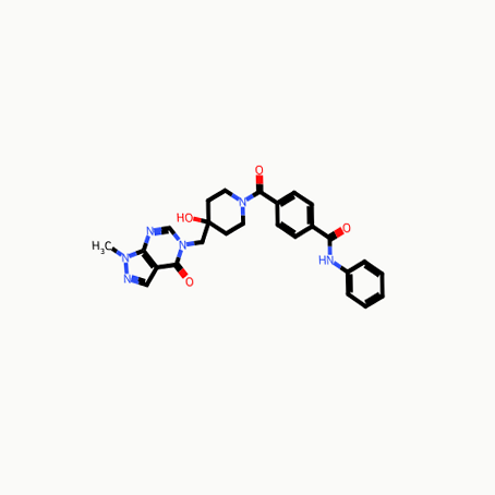 Cn1ncc2c(=O)n(CC3(O)CCN(C(=O)c4ccc(C(=O)Nc5ccccc5)cc4)CC3)cnc21